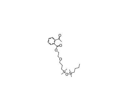 CCCC[Si](C)(C)O[Si](C)(C)CCCOCCOC(=O)c1ccccc1C(C)=O